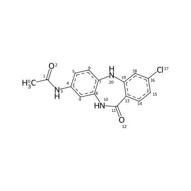 CC(=O)Nc1ccc2c(c1)NC(=O)c1ccc(Cl)cc1N2